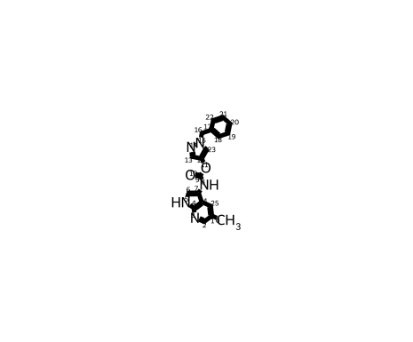 Cc1cnc2[nH]cc(NC(=O)Oc3cnn(Cc4ccccc4)c3)c2c1